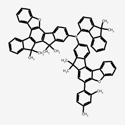 Cc1ccc(-c2cc3c(c4c2oc2ccccc24)-c2ccc(N(c4ccc5c(c4)C(C)(C)c4c6c(c7c(oc8ccccc87)c4-5)-c4ccccc4C6(C)C)c4cccc5c4-c4ccccc4C5(C)C)cc2C3(C)C)c(C)c1